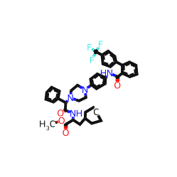 COC(=O)C(CC1CCCCC1)NC(=O)C(c1ccccc1)N1CCN(c2ccc(NC(=O)c3ccccc3-c3ccc(C(F)(F)F)cc3)cc2)CC1